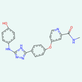 CNC(=O)c1cc(Oc2ccc(-c3nnc(Nc4ccc(O)cc4)[nH]3)cc2)ccn1